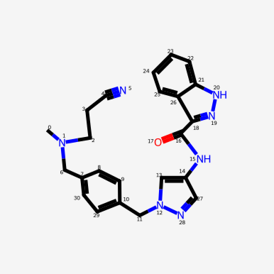 CN(CCC#N)Cc1ccc(Cn2cc(NC(=O)c3n[nH]c4ccccc34)cn2)cc1